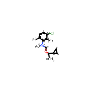 CCc1ccc(Cl)c(CC)c1N(COC(C)C1CC1)C(C)=O